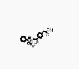 COC(CNS(=O)(=O)c1ccccc1)c1ccc(CC(=O)O)cc1